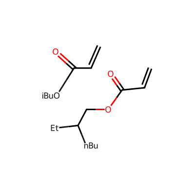 C=CC(=O)OCC(C)C.C=CC(=O)OCC(CC)CCCC